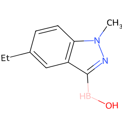 CCc1ccc2c(c1)c(BO)nn2C